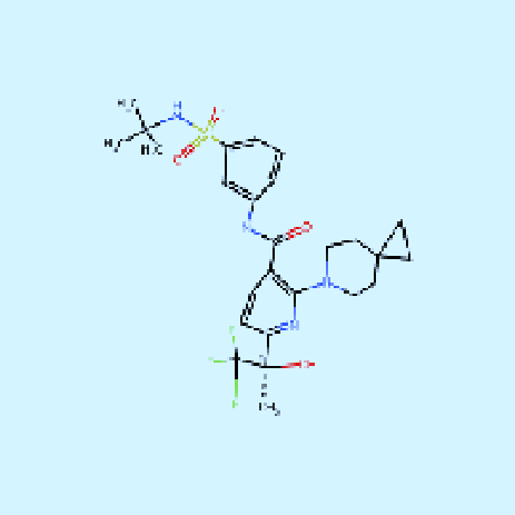 CC(C)(C)NS(=O)(=O)c1cccc(NC(=O)c2ccc([C@@](C)(O)C(F)(F)F)nc2N2CCC3(CC2)CC3)c1